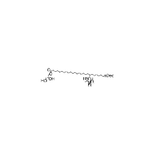 CCCCCCCCCCCCCCCCC(CCCCCCCCCCCCCCCCCC(=O)OCC(O)CO)C(=O)NC(C)N(CC)CC